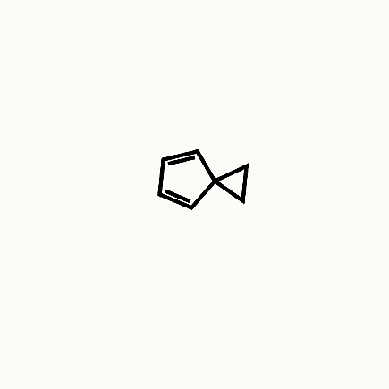 C1=CC2(C=C1)CC2